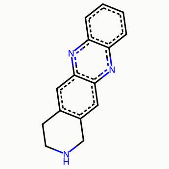 c1ccc2nc3cc4c(cc3nc2c1)CCNC4